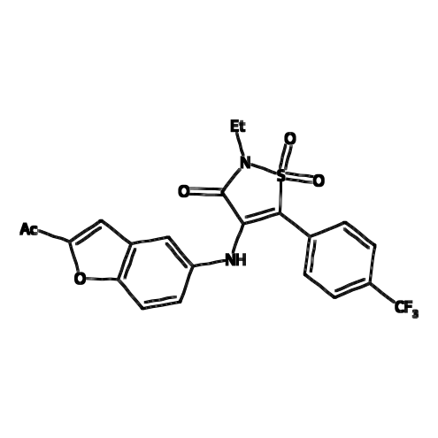 CCN1C(=O)C(Nc2ccc3oc(C(C)=O)cc3c2)=C(c2ccc(C(F)(F)F)cc2)S1(=O)=O